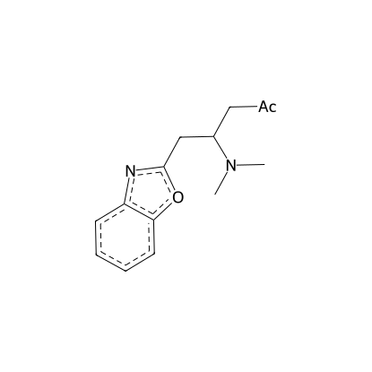 CC(=O)CC(Cc1nc2ccccc2o1)N(C)C